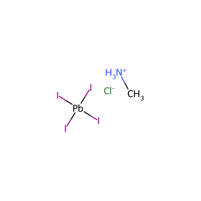 C[NH3+].[Cl-].[I][Pb]([I])([I])[I]